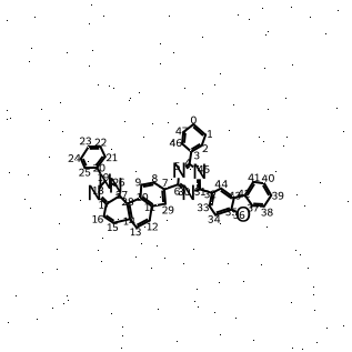 c1ccc(-c2nc(-c3ccc4c(ccc5ccc6nn(-c7ccccc7)nc6c54)c3)nc(-c3ccc4oc5ccccc5c4c3)n2)cc1